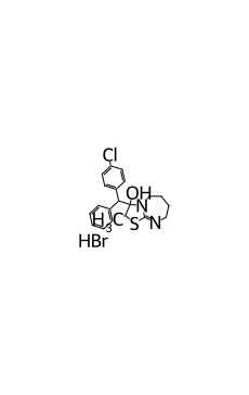 Br.CC1SC2=NCCCCN2C1(O)C(c1ccccc1)c1ccc(Cl)cc1